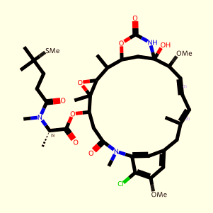 COc1cc2cc(c1Cl)N(C)C(=O)CC(OC(=O)[C@H](C)N(C)C(=O)CCC(C)(C)SC)C1(C)OC1C(C)C1CC(O)(NC(=O)O1)C(OC)/C=C/C=C(\C)C2